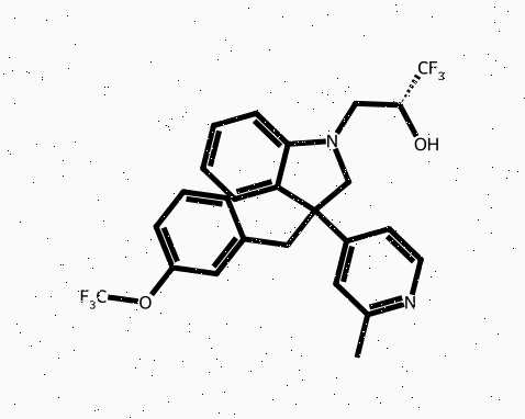 Cc1cc(C2(Cc3cccc(OC(F)(F)F)c3)CN(C[C@@H](O)C(F)(F)F)c3ccccc32)ccn1